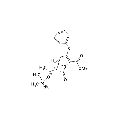 COC(=O)C1=C(Sc2ccccc2)C[C@@H]2[C@@H]([C@@H](C)O[Si](C)(C)C(C)(C)C)C(=O)N12